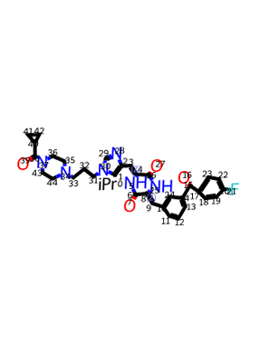 CC(C)c1c(/C=c2\[nH]c(=O)/c(=C/c3cccc(C(=O)c4ccc(F)cc4)c3)[nH]c2=O)ncn1CCCN1CCN(C(=O)C2CC2)CC1